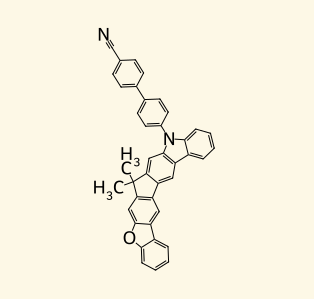 CC1(C)c2cc3oc4ccccc4c3cc2-c2cc3c4ccccc4n(-c4ccc(-c5ccc(C#N)cc5)cc4)c3cc21